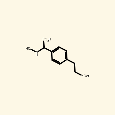 CCCCCCCCCCc1ccc(C(NO)C(=O)O)cc1